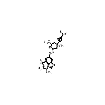 CC(C)n1cnc2cc(OC[C@@H]3C[C@](O)(C45CC(C(F)F)(C4)C5)C[C@H](C)N3)cc(C(F)(F)F)c21